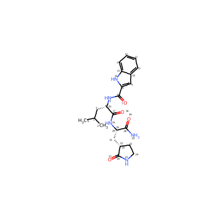 CC(C)C[C@H](NC(=O)c1cc2ccccc2[nH]1)C(=O)N[C@@H](C[C@@H]1CCNC1=O)C(N)=O